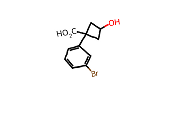 O=C(O)C1(c2cccc(Br)c2)CC(O)C1